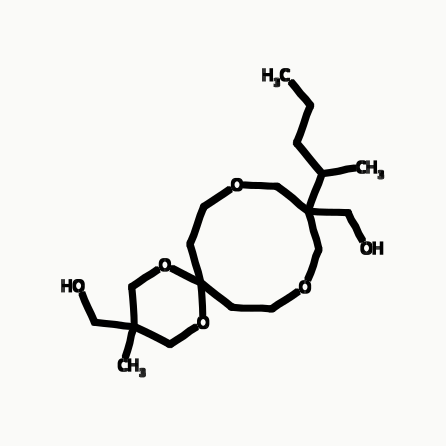 CCCC(C)C1(CO)COCCC2(CCOC1)OCC(C)(CO)CO2